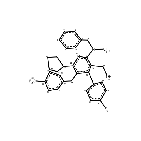 CN(Cc1ccccc1)c1nc(C2CCCC2)c(Cc2ccc(C(F)(F)F)cc2)c(-c2ccc(F)cc2)c1CO